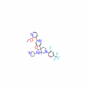 CCOc1ncccc1-c1ccc(C2(C(=O)N[C@H]3CCN(C)C3)CCN(c3ccc(C(F)(F)F)cc3F)CC2)cn1